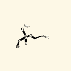 CCCCCCOP(=O)([O-])OCC.[Na+]